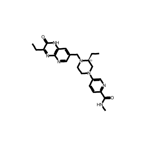 CCc1nc2ncc(CN3CCN(c4ccc(C(=O)NC)nc4)C[C@@H]3CC)cc2[nH]c1=O